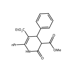 CCCC1=C(C(=O)OCC)C(c2ccccc2)C(C(=O)OC)C(=O)N1